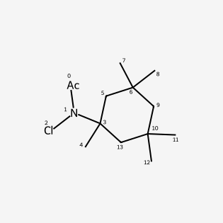 CC(=O)N(Cl)C1(C)CC(C)(C)CC(C)(C)C1